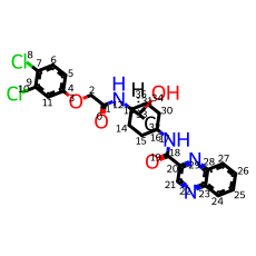 O=C(COc1ccc(Cl)c(Cl)c1)NC12CCC(NC(=O)c3cnc4ccccc4n3)(CC1)C[C@@H]2O